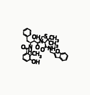 Cc1c(O)cccc1C(=O)N[C@@H](Cc1ccccc1)[C@H](O)C(=O)N1CSC(C)(C)[C@H]1C(=O)NCc1cc2ccccc2o1